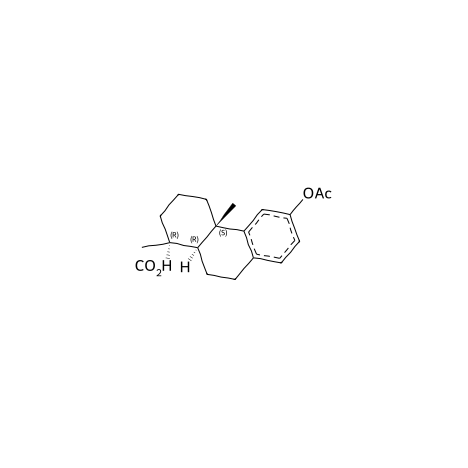 CC(=O)Oc1ccc2c(c1)[C@@]1(C)CCC[C@@](C)(C(=O)O)[C@@H]1CC2